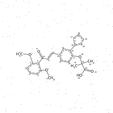 COc1cccc(OC)c1C(=O)C=Cc1ccc(OC(C)(C)C(=O)O)c(-c2cccs2)c1